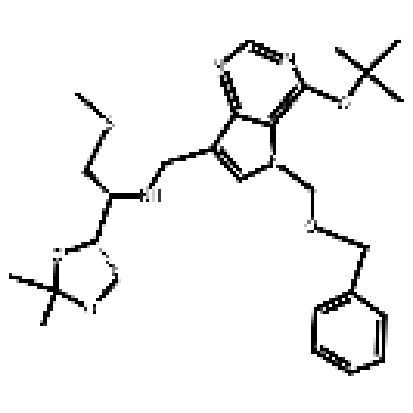 CSC[C@@H](NCc1cn(COCc2ccccc2)c2c(OC(C)(C)C)ncnc12)[C@@H]1COC(C)(C)O1